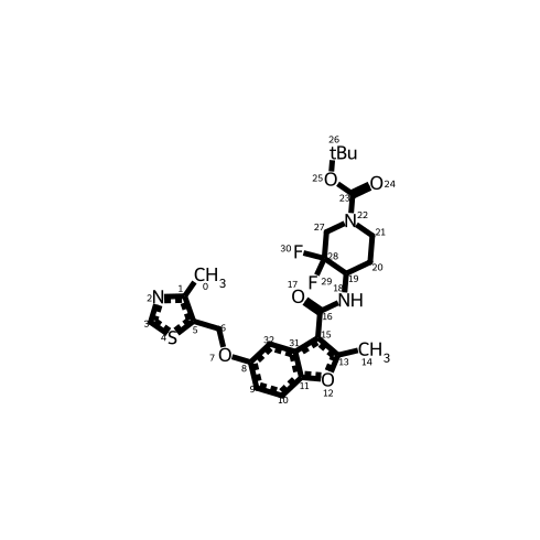 Cc1ncsc1COc1ccc2oc(C)c(C(=O)NC3CCN(C(=O)OC(C)(C)C)CC3(F)F)c2c1